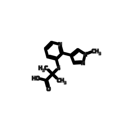 Cn1cc(-c2ncccc2SC(C)(C)C(=O)O)cn1